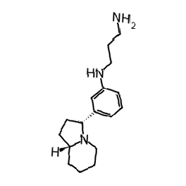 NCCCNc1cccc([C@H]2CC[C@H]3CCCCN32)c1